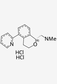 CNC[C@@H]1OCCc2c(-c3ccccn3)cccc21.Cl.Cl